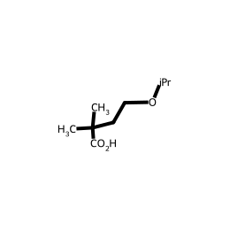 CC(C)OCCC(C)(C)C(=O)O